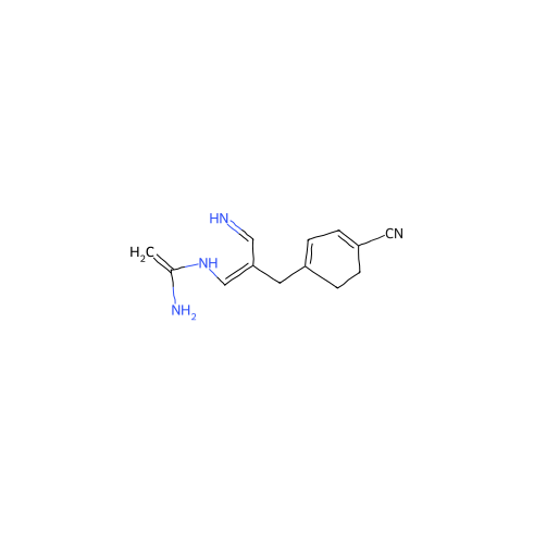 C=C(N)N/C=C(\C=N)CC1=CC=C(C#N)CC1